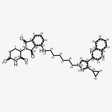 O=C1CCC(N2C(=O)c3cccc(NCCCCCCn4cc(-c5cnc6ccccc6n5)c(C5CC5)n4)c3C2=O)C(=O)N1